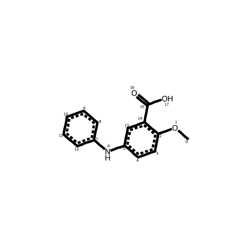 COc1ccc(Nc2ccccc2)cc1C(=O)O